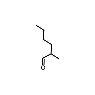 CCCCC(C)C=O